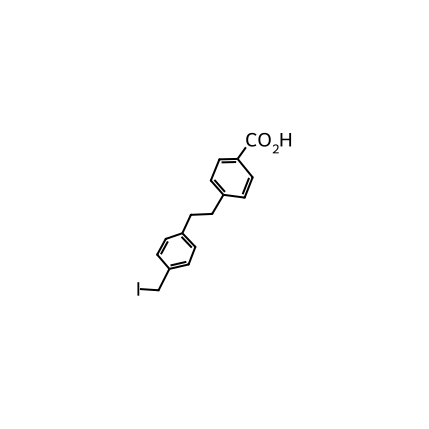 O=C(O)c1ccc(CCc2ccc(CI)cc2)cc1